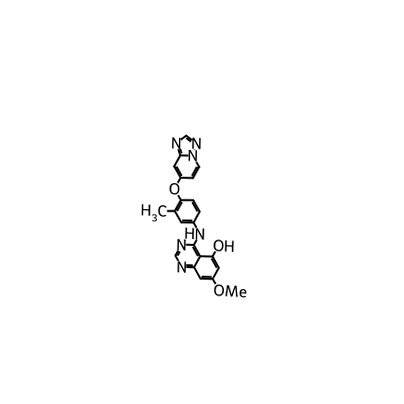 COc1cc(O)c2c(Nc3ccc(Oc4ccn5ncnc5c4)c(C)c3)ncnc2c1